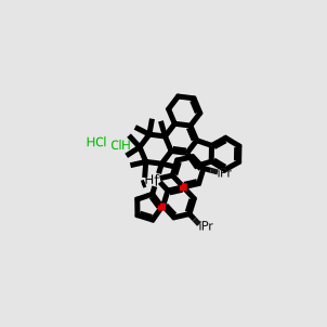 Cl.Cl.[CH2]=[Hf]([C]1=CC=CC1)([c]1ccc(C(C)C)cc1)([c]1ccc(C(C)C)cc1)[C]1(C)C2=C3Cc4ccccc4C3=C3C=CCCC3C2(C)C(C)(C)C(C)(C)C1(C)C